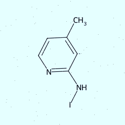 Cc1[c]c(NI)ncc1